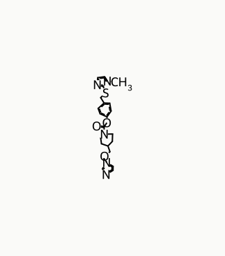 Cn1ccnc1SCc1ccc(OC(=O)N2CCC(COn3ccnc3)CC2)cc1